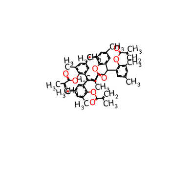 C=C(C)C(=O)Oc1c(C)cc(C)cc1C(CCCC(c1cc(C)cc(C)c1OC(=O)C(=C)C)c1cc(C)cc(C)c1OC(=O)C(=C)C)c1cc(C)cc(C)c1OC(=O)C(=C)C